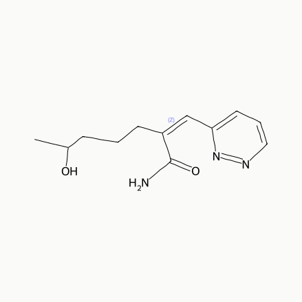 CC(O)CCC/C(=C/c1cccnn1)C(N)=O